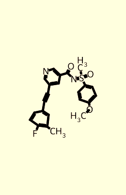 COc1ccc(S(C)(=O)=NC(=O)c2cncc(C#Cc3ccc(F)c(C)c3)c2)cc1